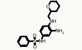 Nc1cc(NS(=O)(=O)c2ccccc2)ccc1NCC1CCCCO1